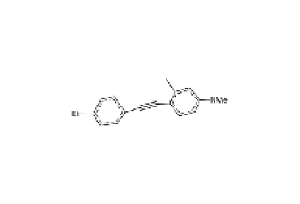 CCc1ccc(C#Cc2ccc(NC)cc2C)cc1